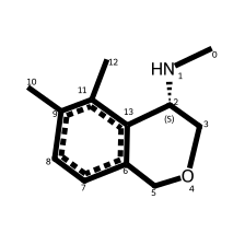 CN[C@@H]1COCc2ccc(C)c(C)c21